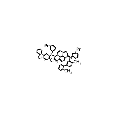 Cc1ccccc1-c1ccc(C)c(N(c2cccc(C(C)C)c2)c2ccc3ccc4c(N(c5cccc(C(C)C)c5)c5cc(-c6ccccc6C)ccc5C)ccc5ccc2c3c54)c1